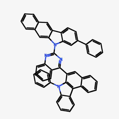 c1ccc(-c2ccc3c4cc5ccccc5cc4n(-c4nc(-c5cc6ccccc6c6c7ccccc7n(-c7ccccc7)c56)c5ccccc5n4)c3c2)cc1